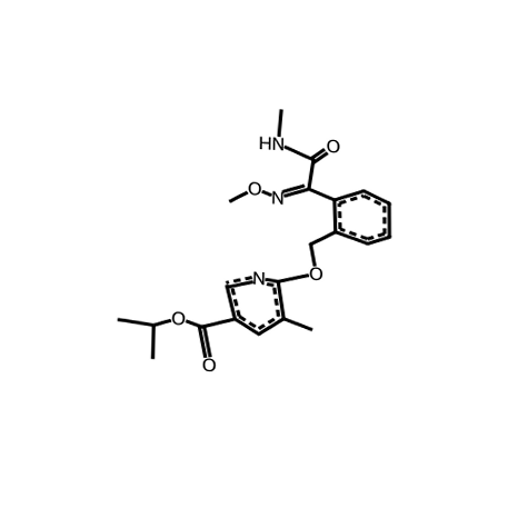 CNC(=O)C(=NOC)c1ccccc1COc1ncc(C(=O)OC(C)C)cc1C